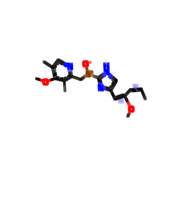 C/C=C\C(=C/c1c[nH]c([S+]([O-])Cc2ncc(C)c(OC)c2C)n1)OC